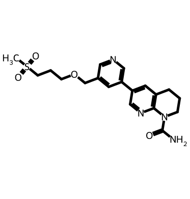 CS(=O)(=O)CCCOCc1cncc(-c2cnc3c(c2)CCCN3C(N)=O)c1